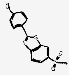 CS(=O)(=O)c1ccc2nc(-c3ccc(Cl)cc3)sc2c1